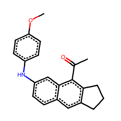 COc1ccc(Nc2ccc3cc4c(c(C(C)=O)c3c2)CCC4)cc1